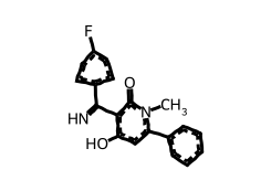 Cn1c(-c2ccccc2)cc(O)c(C(=N)c2ccc(F)cc2)c1=O